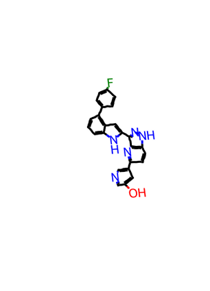 Oc1cncc(-c2ccc3[nH]nc(-c4cc5c(-c6ccc(F)cc6)cccc5[nH]4)c3n2)c1